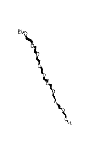 CCOCCOCCOCCOCCOCCOCCOCCOCCOCCOCC